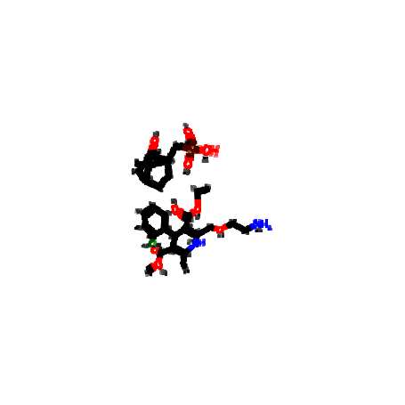 CC1(C)C2CCC1(CS(=O)(=O)O)C(=O)C2.CCOC(=O)C1=C(COCCN)NC(C)=C(C(=O)OC)C1c1ccccc1Cl